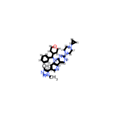 Cc1nnn(C)c1-c1cnc2c3cnc(N4CCN(C5CC5)CC4)nc3n(C(c3ccccc3)C3CCOCC3)c2c1